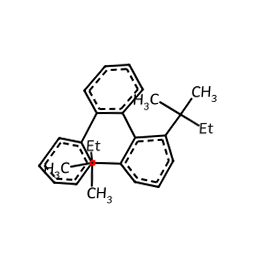 CCC(C)(C)c1cccc(C(C)(C)CC)c1-c1ccccc1-c1ccccc1